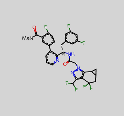 CNC(=O)c1cc(-c2cccnc2[C@H](Cc2cc(F)cc(F)c2)NC(=O)Cn2nc(C(F)F)c3c2C2CC2CC3(F)F)ccc1F